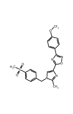 Cc1nc(-c2nc(-c3ccc(OC(F)(F)F)cc3)no2)cn1Cc1ccc(S(C)(=O)=O)cc1